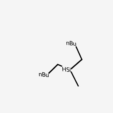 CCCCC[SiH](C)CCCCC